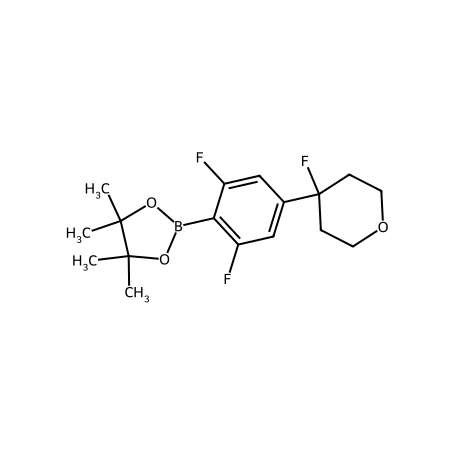 CC1(C)OB(c2c(F)cc(C3(F)CCOCC3)cc2F)OC1(C)C